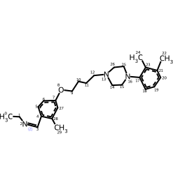 CC/N=C\c1ccc(OCCCCN2CCN(c3cccc(C)c3C)CC2)cc1C